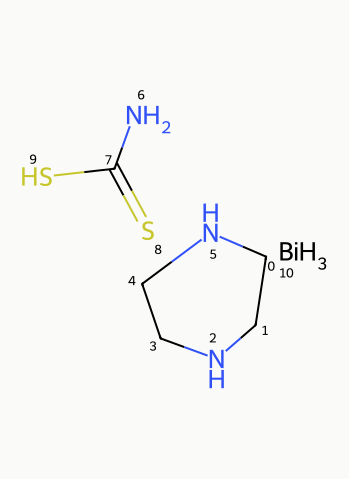 C1CNCCN1.NC(=S)S.[BiH3]